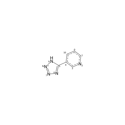 c1cncc(C2=NN=[N+]N2)c1